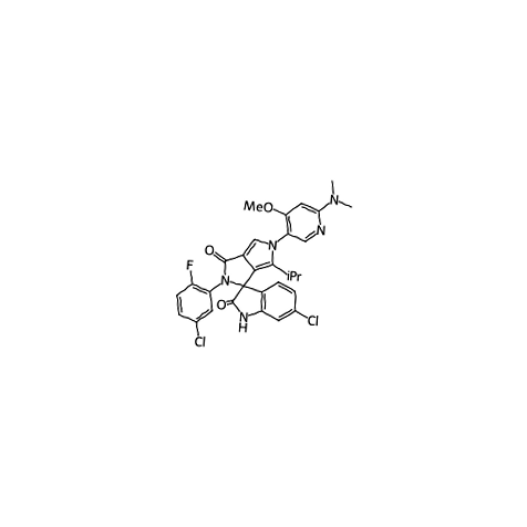 COc1cc(N(C)C)ncc1-n1cc2c(c1C(C)C)C1(C(=O)Nc3cc(Cl)ccc31)N(c1cc(Cl)ccc1F)C2=O